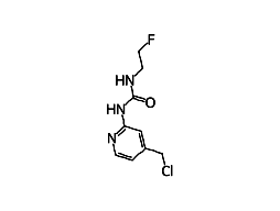 O=C(NCCF)Nc1cc(CCl)ccn1